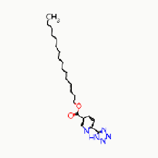 CCCCCCCCCCCCCCCCOC(=O)c1ccc(-c2nnn[nH]2)nc1